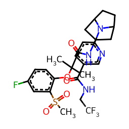 CC(C)(Oc1ccc(F)cc1S(C)(=O)=O)C(=O)NC1CC2CCC(C1)N2c1ccc(C(=O)NCC(F)(F)F)cn1